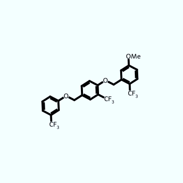 COc1ccc(C(F)(F)F)c(COc2ccc(COc3cccc(C(F)(F)F)c3)cc2C(F)(F)F)c1